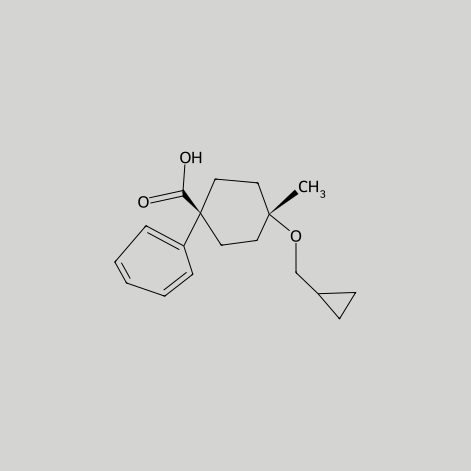 C[C@]1(OCC2CC2)CC[C@@](C(=O)O)(c2ccccc2)CC1